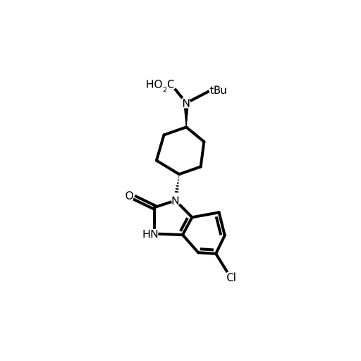 CC(C)(C)N(C(=O)O)[C@H]1CC[C@H](n2c(=O)[nH]c3cc(Cl)ccc32)CC1